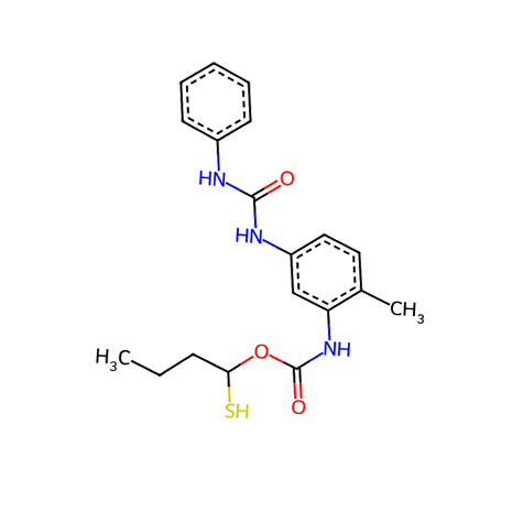 CCCC(S)OC(=O)Nc1cc(NC(=O)Nc2ccccc2)ccc1C